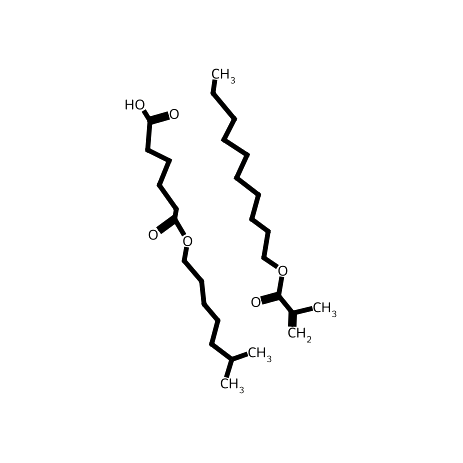 C=C(C)C(=O)OCCCCCCCCCC.CC(C)CCCCCOC(=O)CCCCC(=O)O